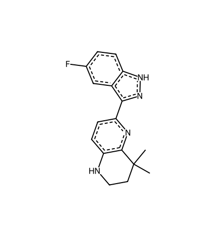 CC1(C)CCNc2ccc(-c3n[nH]c4ccc(F)cc34)nc21